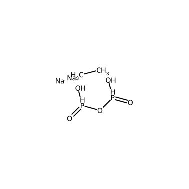 CC.O=[PH](O)O[PH](=O)O.[Na].[Na]